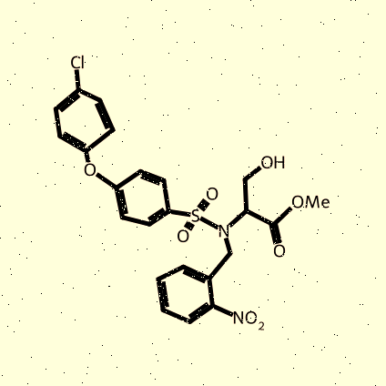 COC(=O)C(CO)N(Cc1ccccc1[N+](=O)[O-])S(=O)(=O)c1ccc(Oc2ccc(Cl)cc2)cc1